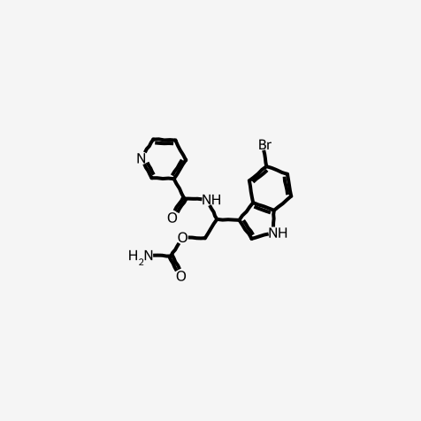 NC(=O)OCC(NC(=O)c1cccnc1)c1c[nH]c2ccc(Br)cc12